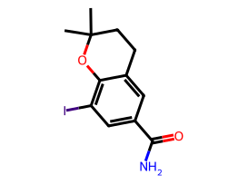 CC1(C)CCc2cc(C(N)=O)cc(I)c2O1